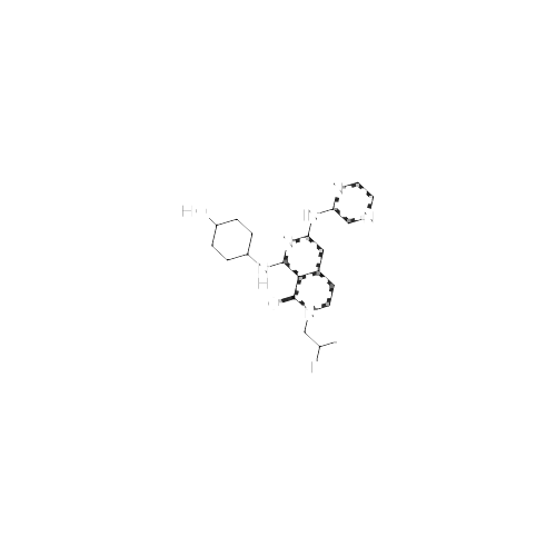 O=c1c2c(NC3CCC(O)CC3)nc(Nc3cnccn3)cc2ccn1CC(F)F